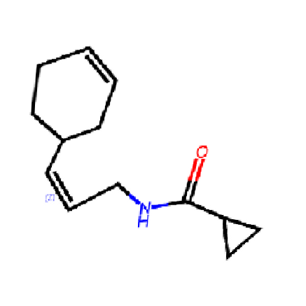 O=C(NC/C=C\C1CC=CCC1)C1CC1